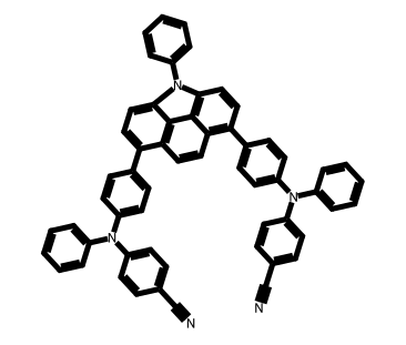 N#Cc1ccc(N(c2ccccc2)c2ccc(-c3ccc4c5c3ccc3c(-c6ccc(N(c7ccccc7)c7ccc(C#N)cc7)cc6)ccc(c35)n4-c3ccccc3)cc2)cc1